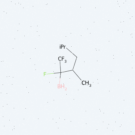 BC(F)(C(C)CC(C)C)C(F)(F)F